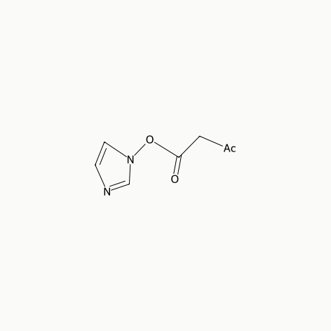 CC(=O)CC(=O)On1ccnc1